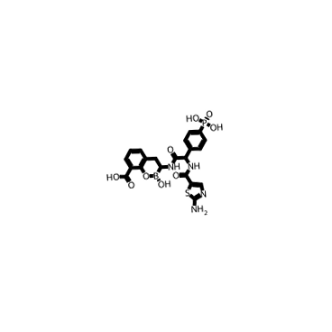 Nc1ncc(C(=O)NC(C(=O)NC2Cc3cccc(C(=O)O)c3OB2O)c2ccc(P(=O)(O)O)cc2)s1